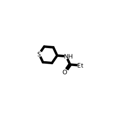 CCC(=O)NC1CCSCC1